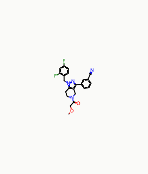 COCC(=O)N1CCc2c(c(-c3cccc(C#N)c3)nn2Cc2ccc(F)cc2F)C1